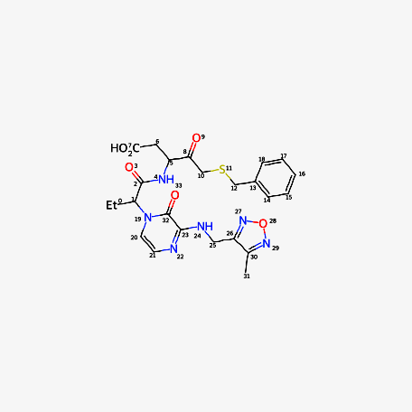 CCC(C(=O)NC(CC(=O)O)C(=O)CSCc1ccccc1)n1ccnc(NCc2nonc2C)c1=O